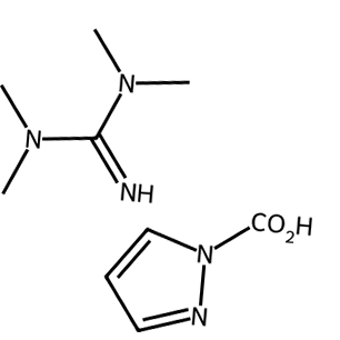 CN(C)C(=N)N(C)C.O=C(O)n1cccn1